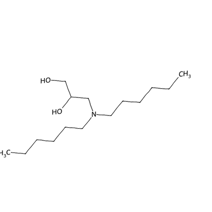 CCCCCCN(CCCCCC)CC(O)CO